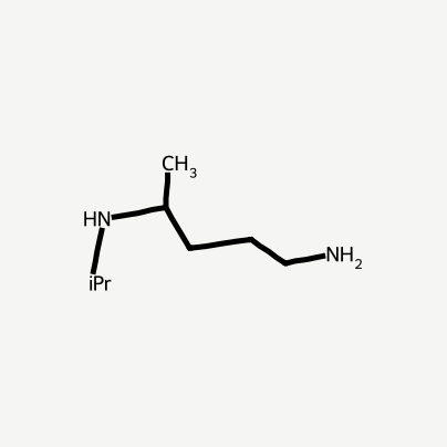 CC(C)NC(C)CCCN